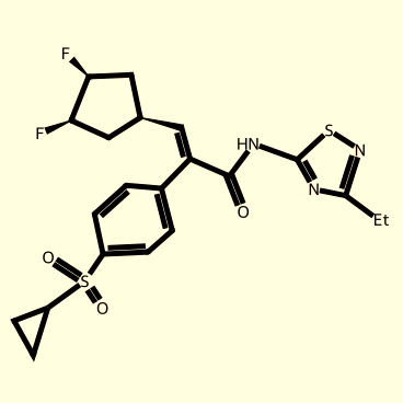 CCc1nsc(NC(=O)/C(=C/[C@H]2C[C@@H](F)[C@@H](F)C2)c2ccc(S(=O)(=O)C3CC3)cc2)n1